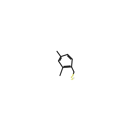 Cc1ccc(C[S])c(C)c1